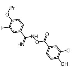 CC(C)Oc1ccc(C(=N)NOC(=O)c2ccc(O)c(Cl)c2)cc1I